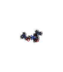 c1ccc(-c2nc(-c3ccc4c(c3)oc3ccc(-n5c6ccccc6c6ccccc65)cc34)nc(-c3cccc4oc5ccc(-c6ccc7c8ccccc8n(-c8ccccc8)c7c6)cc5c34)n2)cc1